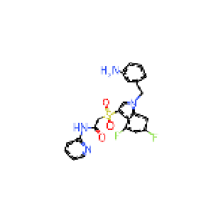 Nc1cccc(Cn2cc(S(=O)(=O)CC(=O)Nc3ccccn3)c3c(F)cc(F)cc32)c1